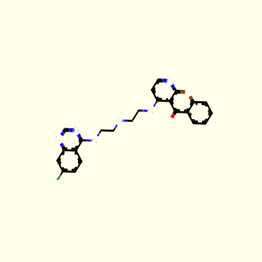 O=c1c2ccccc2sc2nccc(NCCNCCNc3ncnc4cc(Cl)ccc34)c12